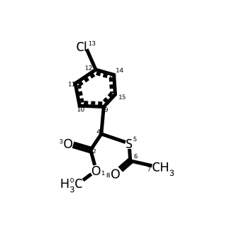 COC(=O)C(SC(C)=O)c1ccc(Cl)cc1